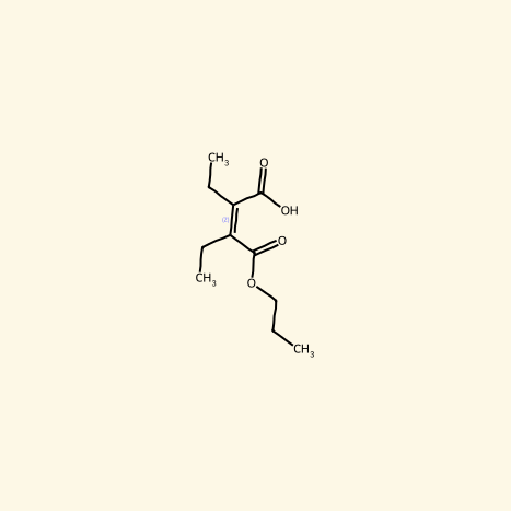 CCCOC(=O)/C(CC)=C(/CC)C(=O)O